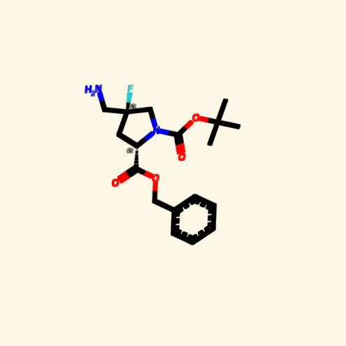 CC(C)(C)OC(=O)N1C[C@@](F)(CN)C[C@H]1C(=O)OCc1ccccc1